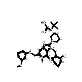 COc1cccc(OCc2cc3nc(N4CCC[C@@H](N(C(=O)O)C(C)(C)C)C4)n(Cc4ccccc4Cl)c3c(=O)n2C)c1